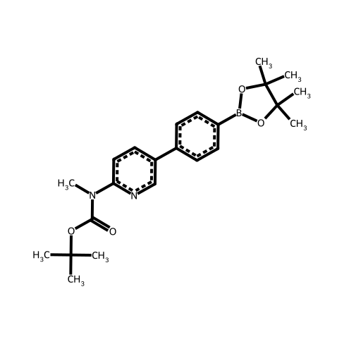 CN(C(=O)OC(C)(C)C)c1ccc(-c2ccc(B3OC(C)(C)C(C)(C)O3)cc2)cn1